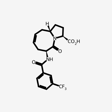 O=C(N[C@H]1CC=CC[C@@H]2CC[C@@H](C(=O)O)N2C1=O)c1cccc(C(F)(F)F)c1